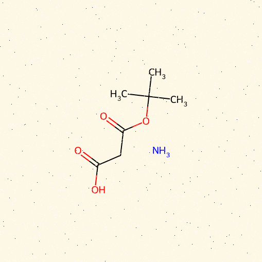 CC(C)(C)OC(=O)CC(=O)O.N